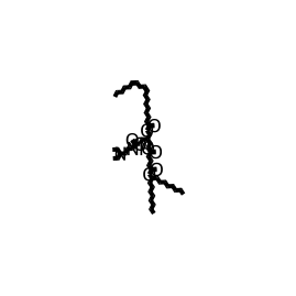 CCCCC/C=C\C/C=C\CCCCCCCC(=O)OCC(COC(=O)CCCC(=O)OC(CCCCCCCC)CCCCCCCC)COC(=O)NCCN(CC)CC